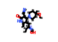 C=c1[nH]c(=O)c(C#N)c(N2CCC(C)(OC)CC2)/c1=C/C(CC)=N/O